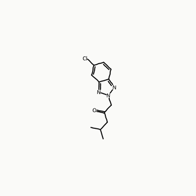 CC(C)CC(=O)Cn1nc2ccc(Cl)cc2n1